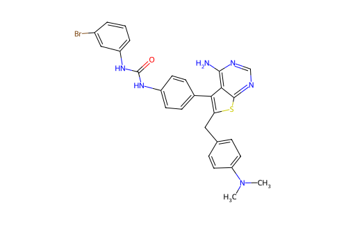 CN(C)c1ccc(Cc2sc3ncnc(N)c3c2-c2ccc(NC(=O)Nc3cccc(Br)c3)cc2)cc1